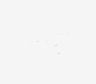 Cc1cc(C#Cc2ccccc2)c(OC2CCCCO2)cc1C#Cc1ccccc1